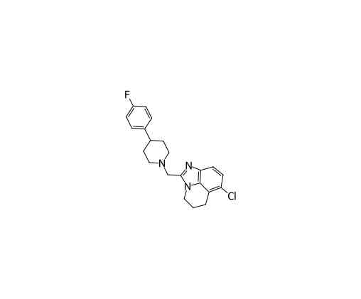 Fc1ccc(C2CCN(Cc3nc4ccc(Cl)c5c4n3CCC5)CC2)cc1